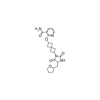 NC(=O)c1cccnc1OC1CC2(C1)CC(N1C(=O)NC(CC3CCCO3)C1=O)C2